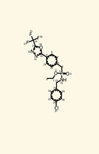 CCOP(=O)(Cc1ccc(-c2nnc(C(F)(F)F)o2)cc1)NCc1ccc(Cl)cc1